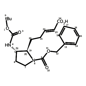 CC(C)(C)OC(=O)N[C@H]1CCN(C(=O)OCc2ccccc2)[C@@H]1CCC=CC(=O)O